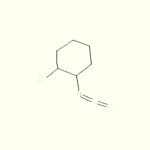 CC(=O)C1CCCCC1N=C=O